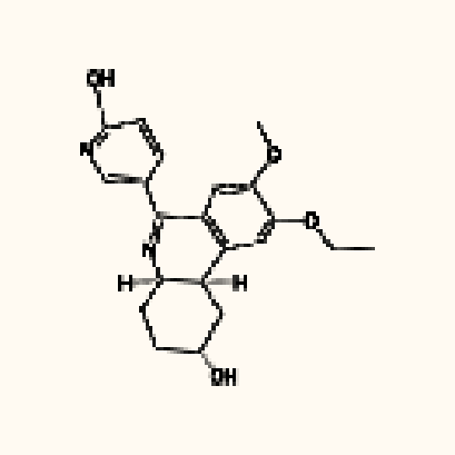 CCOc1cc2c(cc1OC)C(c1ccc(O)nc1)=N[C@@H]1CC[C@@H](O)C[C@H]21